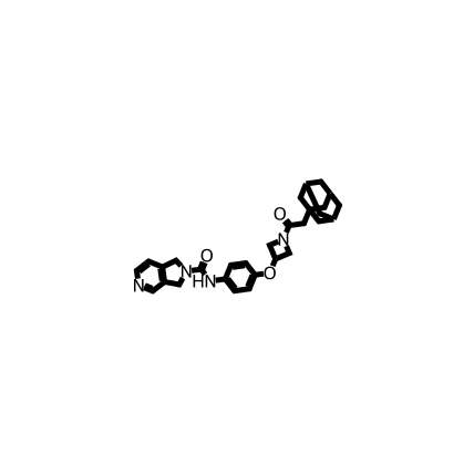 O=C(CC12CC3CC(CC(C3)C1)C2)N1CC(Oc2ccc(NC(=O)N3Cc4ccncc4C3)cc2)C1